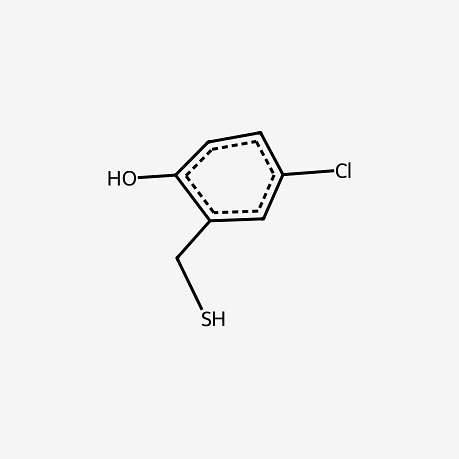 Oc1ccc(Cl)cc1CS